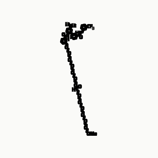 CCN(CC)c1ccc(NC(=O)c2cccc(COCCOCCOCCOCCOCCOCCOC(=O)NCCOCCOCCOCCOCCOCCOCCOC)c2)c(-c2cc(C(=O)NCc3cccc(C(F)(F)F)c3)ccn2)c1